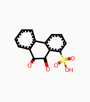 O=C1C(=O)c2c(cccc2S(=O)(=O)O)-c2ccccc21